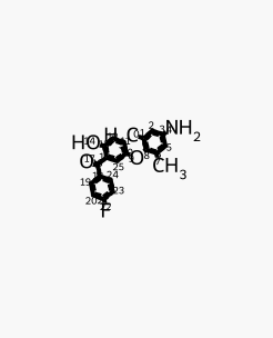 Cc1cc(N)cc(C)c1Oc1ccc(O)c(C(=O)c2ccc(F)cc2)c1